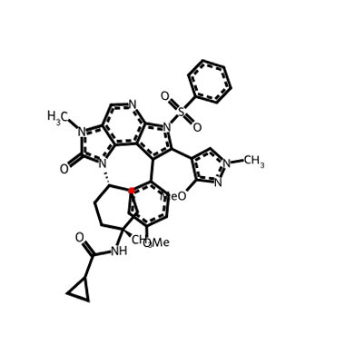 COc1ccc(-c2c(-c3cn(C)nc3OC)n(S(=O)(=O)c3ccccc3)c3ncc4c(c23)n([C@H]2CC[C@@](C)(NC(=O)C3CC3)CC2)c(=O)n4C)cc1